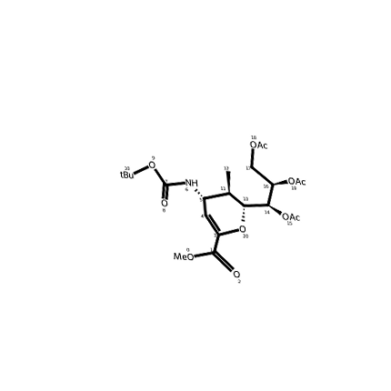 COC(=O)C1=C[C@H](NC(=O)OC(C)(C)C)[C@@H](C)[C@H]([C@H](OC(C)=O)[C@@H](COC(C)=O)OC(C)=O)O1